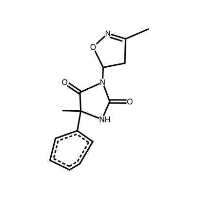 CC1=NOC(N2C(=O)NC(C)(c3ccccc3)C2=O)C1